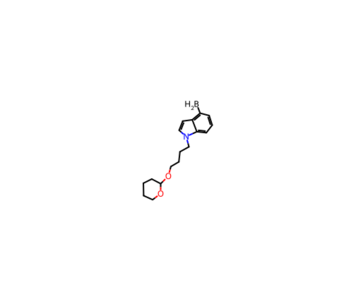 Bc1cccc2c1ccn2CCCCOC1CCCCO1